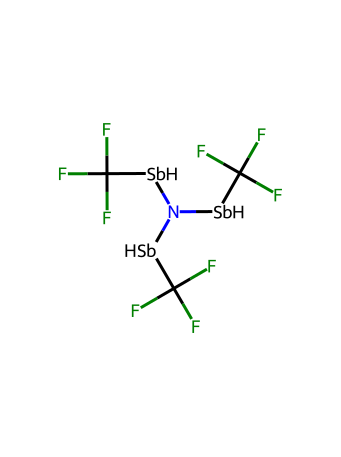 F[C](F)(F)[SbH][N]([SbH][C](F)(F)F)[SbH][C](F)(F)F